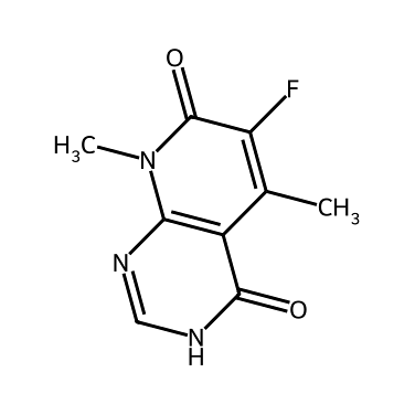 Cc1c(F)c(=O)n(C)c2nc[nH]c(=O)c12